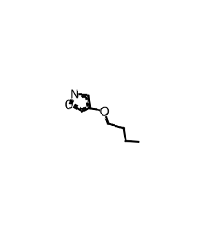 CCCCOc1cnoc1